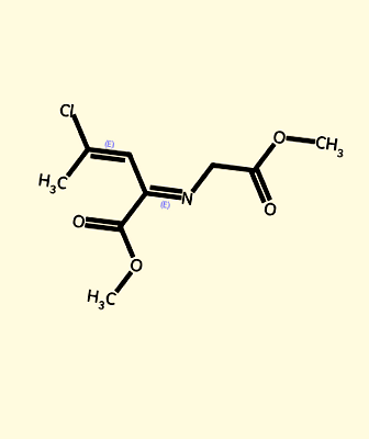 COC(=O)C/N=C(\C=C(/C)Cl)C(=O)OC